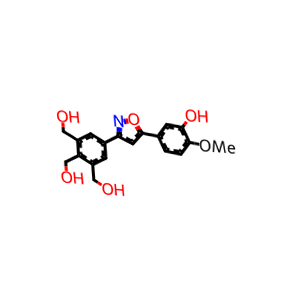 COc1ccc(-c2cc(-c3cc(CO)c(CO)c(CO)c3)no2)cc1O